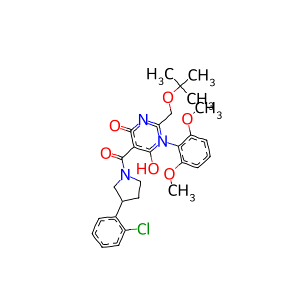 COc1cccc(OC)c1-n1c(COC(C)(C)C)nc(=O)c(C(=O)N2CCC(c3ccccc3Cl)C2)c1O